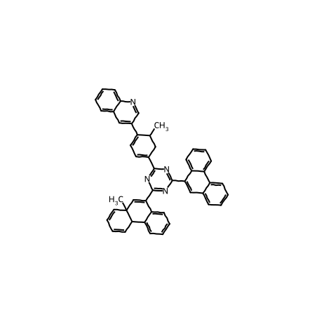 CC1CC(c2nc(C3=CC4(C)C=CC=CC4c4ccccc43)nc(-c3cc4ccccc4c4ccccc34)n2)=CC=C1c1cnc2ccccc2c1